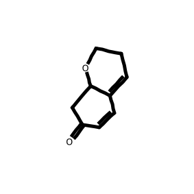 O=C1C=CC2=CCCOC2C1